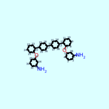 Nc1cccc(Oc2ccccc2-c2ccc(-c3ccc(-c4ccccc4Oc4cccc(N)c4)cc3)cc2)c1